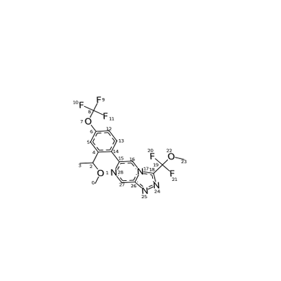 COC(C)c1cc(OC(F)(F)F)ccc1-c1cn2c(C(F)(F)OC)nnc2cn1